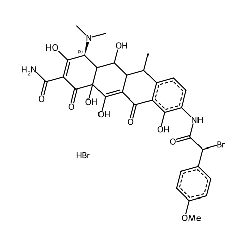 Br.COc1ccc(C(Br)C(=O)Nc2ccc3c(c2O)C(=O)C2=C(O)C4(O)C(=O)C(C(N)=O)=C(O)[C@@H](N(C)C)C4C(O)C2C3C)cc1